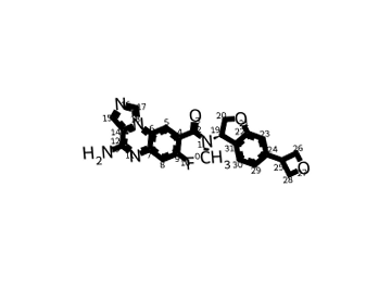 CN(C(=O)c1cc2c(cc1F)nc(N)c1cncn12)[C@@H]1COc2cc(C3COC3)ccc21